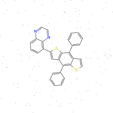 c1ccc(-c2c3cc(-c4cccc5nccnc45)sc3c(-c3ccccc3)c3ccsc23)cc1